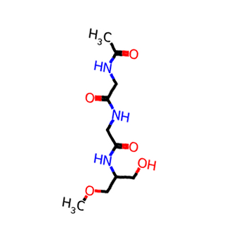 COCC(CO)NC(=O)CNC(=O)CNC(C)=O